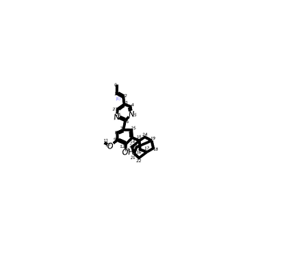 C/C=C/c1cnc(-c2cc(OC)c(O)c(C34CC5CC(CC(C5)C3)C4)c2)nc1